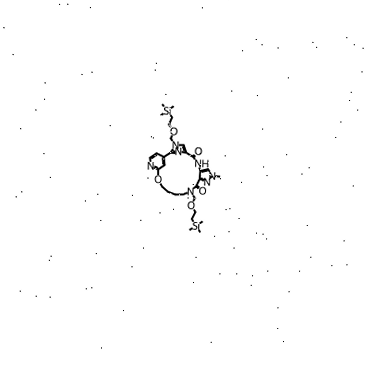 Cn1cc2c(n1)C(=O)N(COCC[Si](C)(C)C)CCCCOc1cc(ccn1)-c1nc(cn1COCC[Si](C)(C)C)C(=O)N2